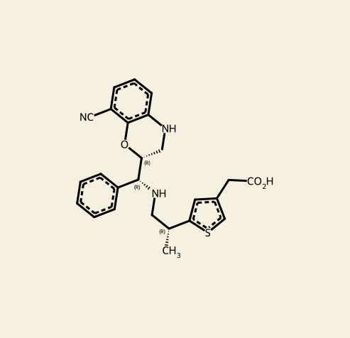 C[C@H](CN[C@H](c1ccccc1)[C@H]1CNc2cccc(C#N)c2O1)c1cc(CC(=O)O)cs1